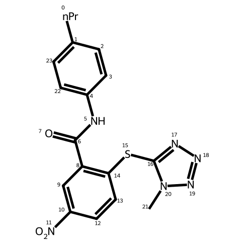 CCCc1ccc(NC(=O)c2cc([N+](=O)[O-])ccc2Sc2nnnn2C)cc1